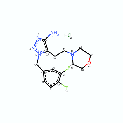 Cl.Nc1nnn(Cc2ccc(F)c(F)c2)c1CCN1CCOCC1